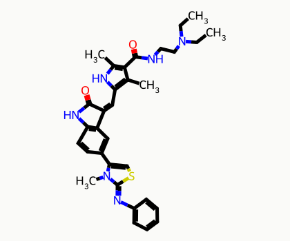 CCN(CC)CCNC(=O)c1c(C)[nH]c(/C=C2\C(=O)Nc3ccc(-c4cs/c(=N\c5ccccc5)n4C)cc32)c1C